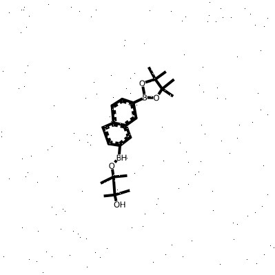 CC(C)(O)C(C)(C)OBc1ccc2ccc(B3OC(C)(C)C(C)(C)O3)cc2c1